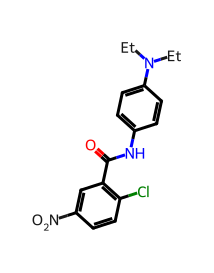 CCN(CC)c1ccc(NC(=O)c2cc([N+](=O)[O-])ccc2Cl)cc1